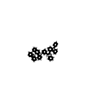 c1ccc(-n2c3ccccc3c3c(-c4nc5ccccc5nc4-c4cccc(-n5c6ccccc6c6c(-n7c8ccccc8c8ccccc87)c7ccccc7cc65)c4)cccc32)cc1